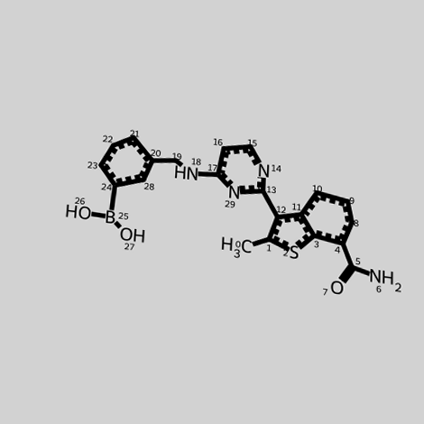 Cc1sc2c(C(N)=O)cccc2c1-c1nccc(NCc2cccc(B(O)O)c2)n1